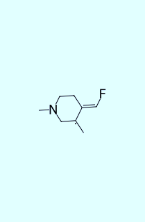 C[C]1CN(C)CC/C1=C\F